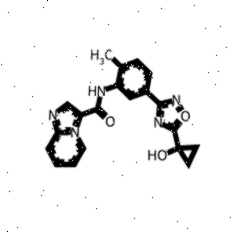 Cc1ccc(-c2noc(C3(O)CC3)n2)cc1NC(=O)c1cnc2ccccn12